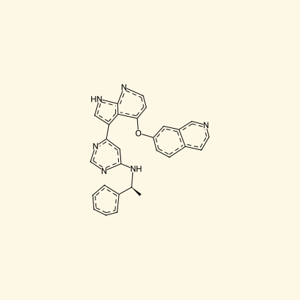 C[C@H](Nc1cc(-c2c[nH]c3nccc(Oc4ccc5ccncc5c4)c23)ncn1)c1ccccc1